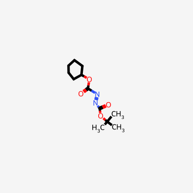 CC(C)(C)OC(=O)/N=N/C(=O)OC1CCCCC1